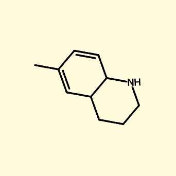 CC1=CC2CCCNC2C=C1